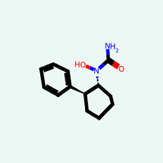 NC(=O)N(O)[C@@H]1CCCC[C@H]1c1ccccc1